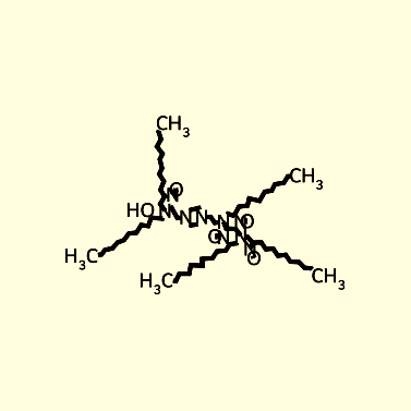 CCCCCCCCCCC(O)CN(CCN1CCN(CCN(CCN(CC(CCCCCCCCCC)N=O)CC(CCCCCCCCCC)N=O)CC(CCCCCCCCCC)N=O)CC1)CC(CCCCCCCCCC)N=O